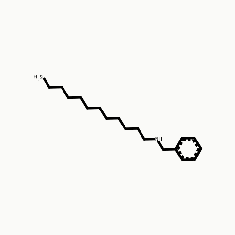 [SiH3]CCCCCCCCCCCNCc1ccccc1